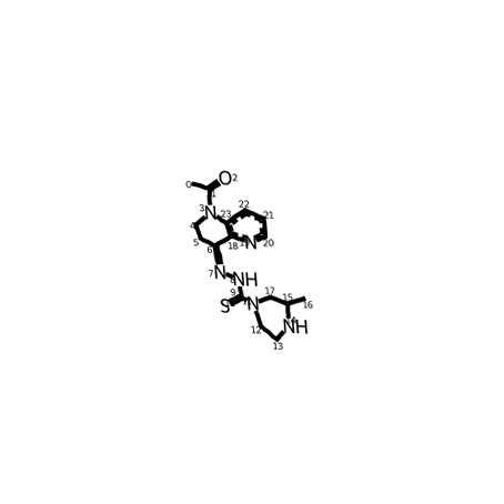 CC(=O)N1CC/C(=N/NC(=S)N2CCNC(C)C2)c2ncccc21